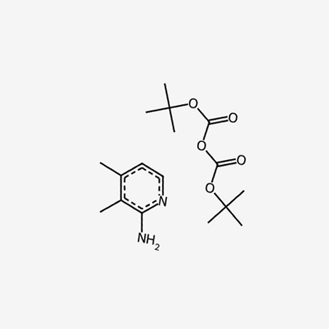 CC(C)(C)OC(=O)OC(=O)OC(C)(C)C.Cc1ccnc(N)c1C